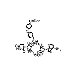 CCCCCCCCCCOc1ccc(Oc2ccc(CSP3(=O)OC[C@H]4O[C@@H](n5cnc6c(N)ncnc65)[C@H](F)[C@@H]4OP(=O)(O)OC[C@H]4O[C@@H](n5ccc(=O)[nH]c5=O)[C@H](F)[C@@H]4O3)cc2)cc1